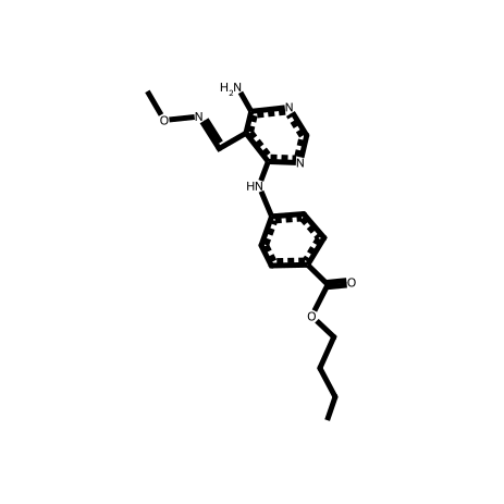 CCCCOC(=O)c1ccc(Nc2ncnc(N)c2C=NOC)cc1